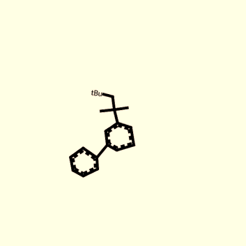 CC(C)(C)CC(C)(C)c1cccc(-c2ccccc2)c1